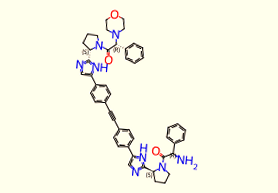 N[C@@H](C(=O)N1CCC[C@H]1c1ncc(-c2ccc(C#Cc3ccc(-c4cnc([C@@H]5CCCN5C(=O)[C@@H](c5ccccc5)N5CCOCC5)[nH]4)cc3)cc2)[nH]1)c1ccccc1